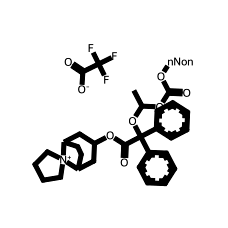 CCCCCCCCCOC(=O)OC(C)OC(C(=O)OC1CC2CCC(C1)[N+]21CCCC1)(c1ccccc1)c1ccccc1.O=C([O-])C(F)(F)F